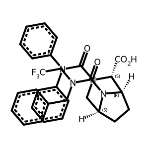 O=C(O)[C@@H]1[C@H]2CC[C@@H](CN1C(=O)N(c1ccccc1)c1ccccc1)N2C(=O)N(Cc1ccccc1)CC(F)(F)F